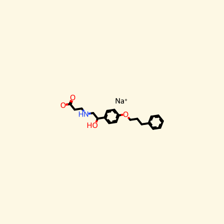 O=C([O-])CCNCC(O)c1ccc(OCCCc2ccccc2)cc1.[Na+]